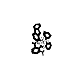 CC(C)c1cccc(C(C)C)c1C(=O)[NH][Ti]([Cl])([Cl])([c]1cccc2c1Cc1ccccc1-2)[SiH](c1ccccc1)c1ccccc1